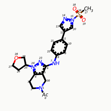 CC(=O)N1CCc2c(c(Nc3ccc(-c4cnn(S(C)(=O)=O)c4)cc3)nn2C2CCOC2)C1